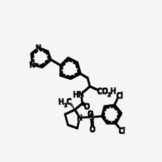 C[C@@]1(C(=O)NC(Cc2ccc(-c3cncnc3)cc2)C(=O)O)CCCN1S(=O)(=O)c1cc(Cl)cc(Cl)c1